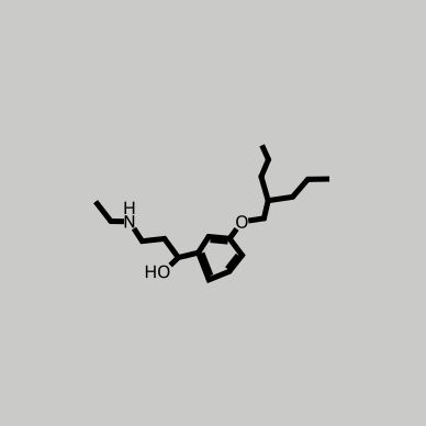 CCCC(CCC)COc1cccc(C(O)CCNCC)c1